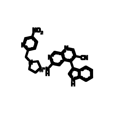 N#Cc1cnc2cnc(N[C@@H]3CCN(Cc4ccc([N+](=O)[O-])cn4)C3)cc2c1-c1c[nH]c2ccccc12